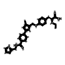 CCO[C@@H](Cc1ccc(OCc2sc(-c3ccc(C(=O)NCc4ccco4)cc3)cc2C)cc1)C(=O)O